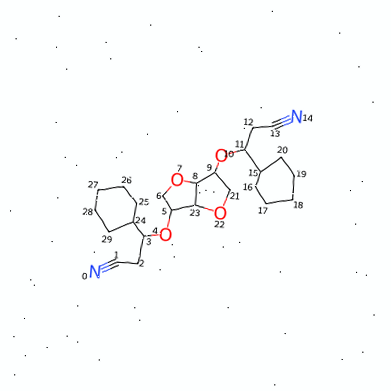 N#CCC(OC1COC2C(OC(CC#N)C3CCCCC3)COC12)C1CCCCC1